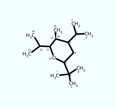 CC(C)C1CC(C(C)(C)C)OC(C(C)C)[C@H]1C